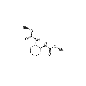 CC(C)(C)OC(=O)N[C@H]1CCCC[C@@H]1NC(=O)OC(C)(C)C